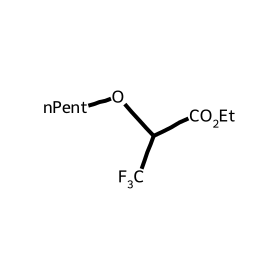 CCCCCOC(C(=O)OCC)C(F)(F)F